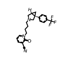 N#Cc1cccn(CCCCN2C[C@@H]3C[C@]3(c3ccc(C(F)(F)F)cc3)C2)c1=O